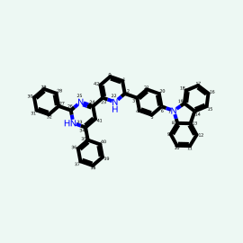 C1=CC(c2ccc(-n3c4ccccc4c4ccccc43)cc2)NC(C2=NC(c3ccccc3)NC(c3ccccc3)=C2)=C1